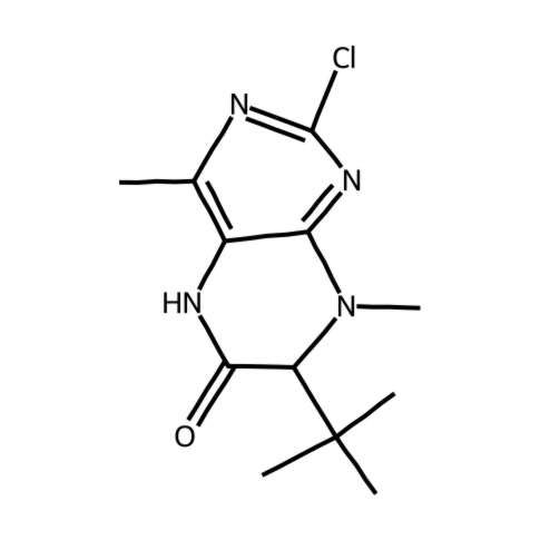 Cc1nc(Cl)nc2c1NC(=O)C(C(C)(C)C)N2C